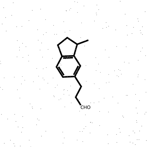 CC1CCc2ccc(CCC=O)cc21